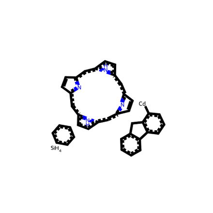 C1=Cc2cc3ccc(cc4nc(cc5ccc(cc1n2)[nH]5)C=C4)[nH]3.[Cd][c]1cccc2c1Cc1ccccc1-2.[SiH4].c1ccccc1